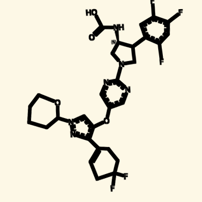 O=C(O)N[C@@H]1CN(c2ncc(Oc3cn(C4CCCCO4)nc3C3=CCC(F)(F)CC3)cn2)CC1c1cc(F)c(F)cc1F